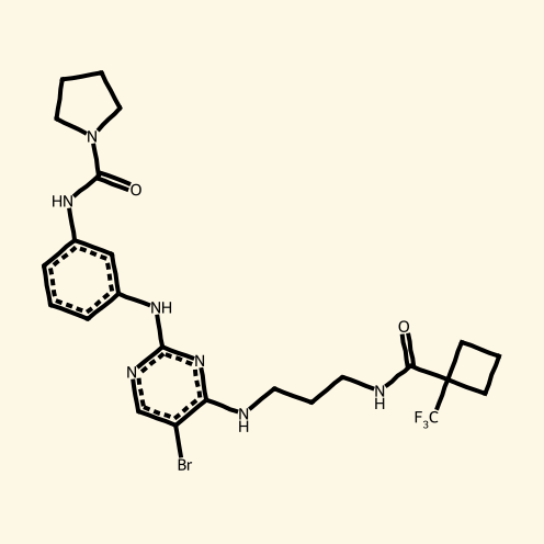 O=C(Nc1cccc(Nc2ncc(Br)c(NCCCNC(=O)C3(C(F)(F)F)CCC3)n2)c1)N1CCCC1